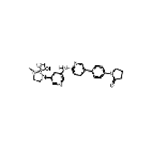 CN1CCN(c2cncc(Nc3ccc(-c4ccc(N5CCCC5=O)cc4)cn3)c2)S1(O)O